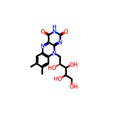 Cc1cc2nc3c(=O)[nH]c(=O)nc-3n(C[C@H](O)C(O)C(O)CO)c2cc1C